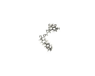 CN(C(=O)COCCCNc1cn[nH]c(=O)c1C(F)(F)F)C1CCN(c2cnc(C(F)(F)F)cn2)CC1